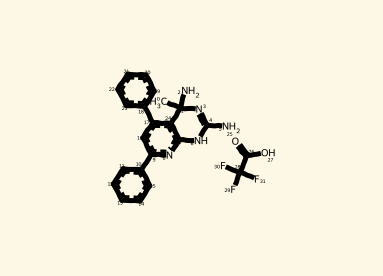 CC1(N)N=C(N)Nc2nc(-c3ccccc3)cc(-c3ccccc3)c21.O=C(O)C(F)(F)F